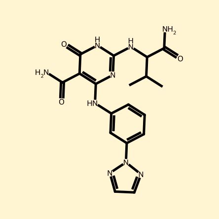 CC(C)C(Nc1nc(Nc2cccc(-n3nccn3)c2)c(C(N)=O)c(=O)[nH]1)C(N)=O